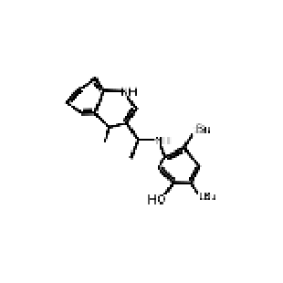 CC(Nc1cc(O)c(C(C)(C)C)cc1C(C)(C)C)C1=CNc2ccccc2C1C